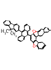 CC1(C)c2ccccc2-c2ccc(-c3c4ccccc4c(-c4cc5oc6ccccc6c5c5c4oc4cc6ccccc6cc45)c4ccccc34)cc21